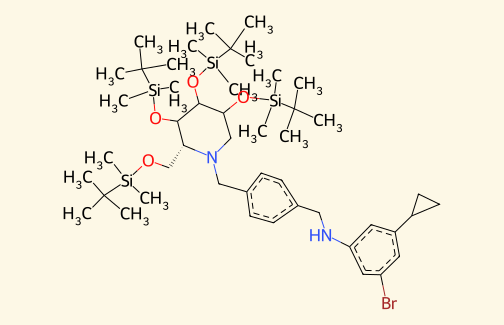 CC(C)(C)[Si](C)(C)OC[C@@H]1C(O[Si](C)(C)C(C)(C)C)C(O[Si](C)(C)C(C)(C)C)C(O[Si](C)(C)C(C)(C)C)CN1Cc1ccc(CNc2cc(Br)cc(C3CC3)c2)cc1